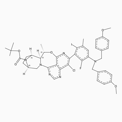 COc1ccc(CN(Cc2ccc(OC)cc2)c2cc(C)c(I)c(-c3nc4c5c(ncnc5c3Cl)N3C[C@H]5CC[C@@H]([C@H]3[C@H](C)O4)N5C(=O)OC(C)(C)C)c2F)cc1